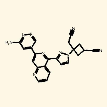 N#CCC1(n2ccc(-c3nc(-c4cnnc(N)c4)cc4ncccc34)n2)CC(C#N)C1